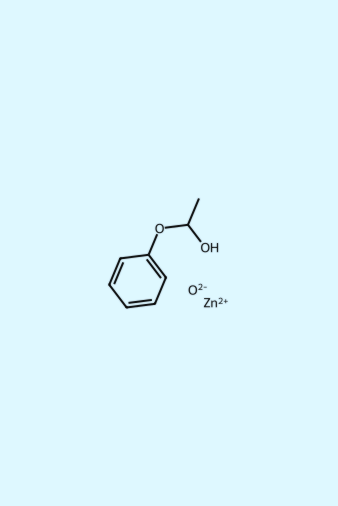 CC(O)Oc1ccccc1.[O-2].[Zn+2]